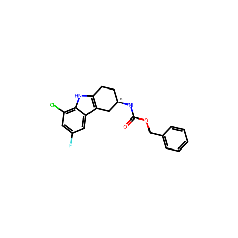 O=C(N[C@@H]1CCc2[nH]c3c(Cl)cc(F)cc3c2C1)OCc1ccccc1